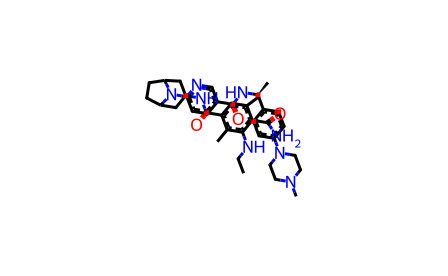 CCNc1c(C)c(C(=O)NC2CC3CCC(C2)N3c2ccc(C(=O)N[C@@H](C)c3ccc(N4CCN(C)CC4)cc3)cn2)cc(C)c1C(N)=O